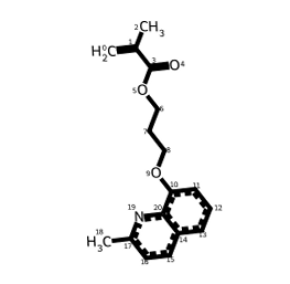 C=C(C)C(=O)OCCCOc1cccc2ccc(C)nc12